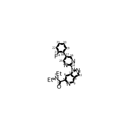 CCN(CC)C(=O)c1cc2c(cn1)cnn2-c1ncc(-c2ccccc2F)cn1